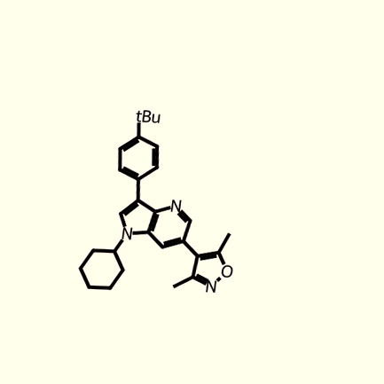 Cc1noc(C)c1-c1cnc2c(-c3ccc(C(C)(C)C)cc3)cn(C3CCCCC3)c2c1